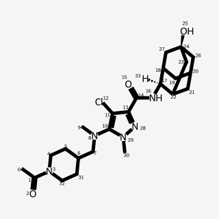 CC(=O)N1CCC(CN(C)c2c(Cl)c(C(=O)N[C@H]3C4CC5CC3C[C@@](O)(C5)C4)nn2C)CC1